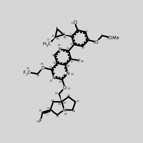 COCOc1cc(Cl)c([C@@H]2C[C@@H]2C)c(-c2ncc3c(OCC(F)(F)F)nc(OC[C@@]45CCCN4C/C(=C\F)C5)nc3c2F)c1